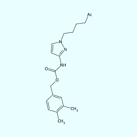 CC(=O)CCCCn1ccc(NC(=O)OCc2ccc(C)c(C)c2)n1